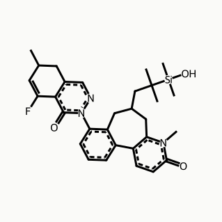 CC1C=C(F)c2c(cnn(-c3cccc4c3CC(CC(C)(C)[Si](C)(C)O)Cc3c-4ccc(=O)n3C)c2=O)C1